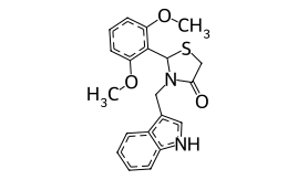 COc1cccc(OC)c1C1SCC(=O)N1Cc1c[nH]c2ccccc12